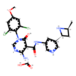 COc1cc(Cl)c(-n2cnc(N)c(C(=O)Nc3cncc([C@H]4C[C@H](C)N4)c3)c2=O)c(Cl)c1.O=CO